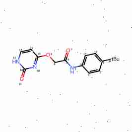 CC(C)(C)c1ccc(NC(=O)COc2cc[nH]c(=O)n2)cc1